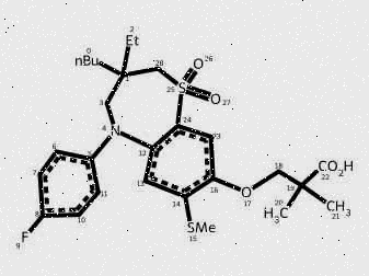 CCCCC1(CC)CN(c2ccc(F)cc2)c2cc(SC)c(OCC(C)(C)C(=O)O)cc2S(=O)(=O)C1